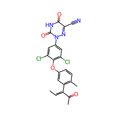 C/C=C(/C(C)=O)c1cc(Oc2c(Cl)cc(-n3nc(C#N)c(=O)[nH]c3=O)cc2Cl)ccc1C